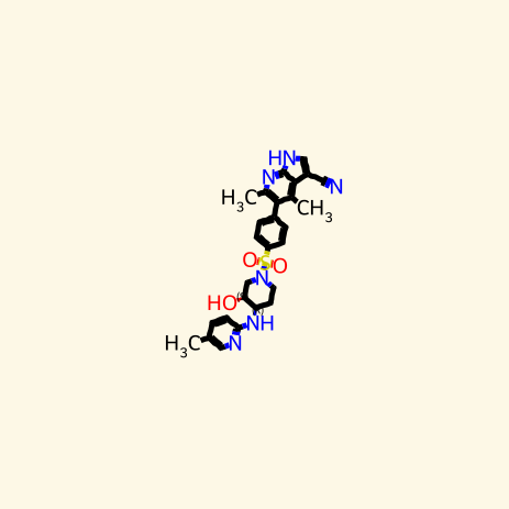 Cc1ccc(N[C@@H]2CCN(S(=O)(=O)c3ccc(-c4c(C)nc5[nH]cc(C#N)c5c4C)cc3)C[C@@H]2O)nc1